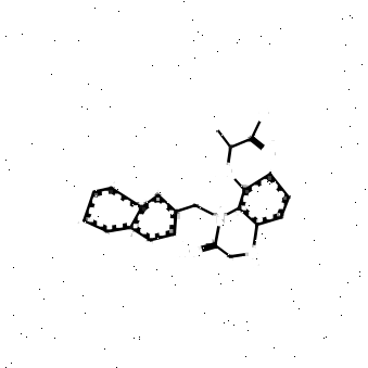 CC(Oc1cccc2c1N(Cc1ccc3ccccc3c1)C(=O)CO2)C(=O)O